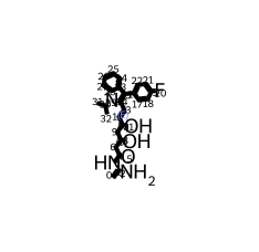 C=C(N)NC(=O)C[C@@H](O)C[C@@H](O)/C=C/c1c(-c2ccc(F)cc2)c2ccccc2n1C(C)C